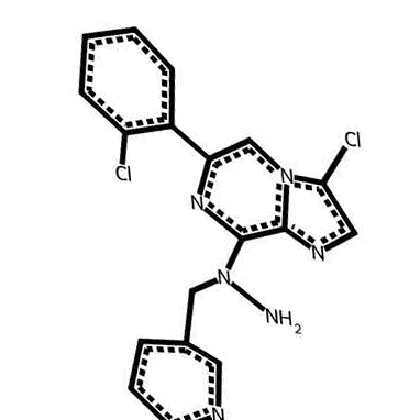 NN(Cc1cccnc1)c1nc(-c2ccccc2Cl)cn2c(Cl)cnc12